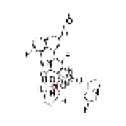 C#Cc1c(F)ccc2cc(OCOC)cc(-c3nc4c5c(nc(OC[C@]67CCCN6C[C@@H](F)C7)nc5c3F)N3C[C@H]5CC[C@@H]([C@H]3CO4)N5C(=O)OC(C)(C)C)c12